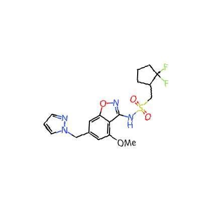 COc1cc(Cn2cccn2)cc2onc(NS(=O)(=O)CC3CCCC3(F)F)c12